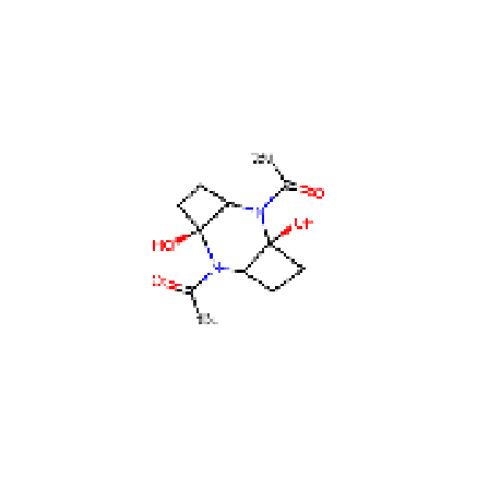 CC(C)(C)C(=O)N1C2CC[C@@]2(O)N(C(=O)C(C)(C)C)C2CC[C@]21O